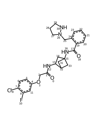 O=C(COc1ccc(Cl)c(F)c1)NC1CC2(NC(=O)c3ccccc3CN3CCCN3)CC1C2